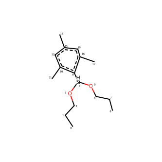 CCCO[SiH](OCCC)c1c(C)cc(C)cc1C